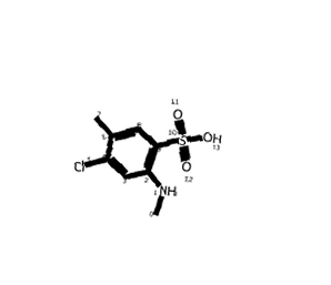 CNc1cc(Cl)c(C)cc1S(=O)(=O)O